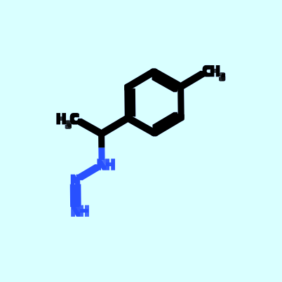 Cc1ccc(C(C)NN=N)cc1